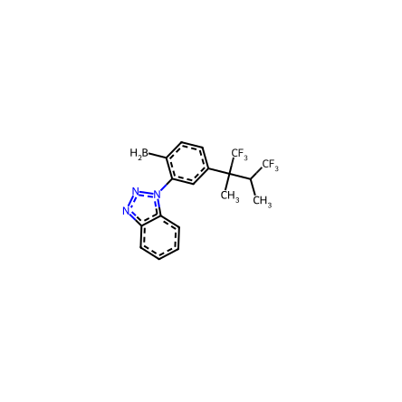 Bc1ccc(C(C)(C(C)C(F)(F)F)C(F)(F)F)cc1-n1nnc2ccccc21